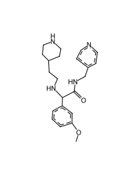 COc1cccc(C(NCCC2CCNCC2)C(=O)NCc2ccncc2)c1